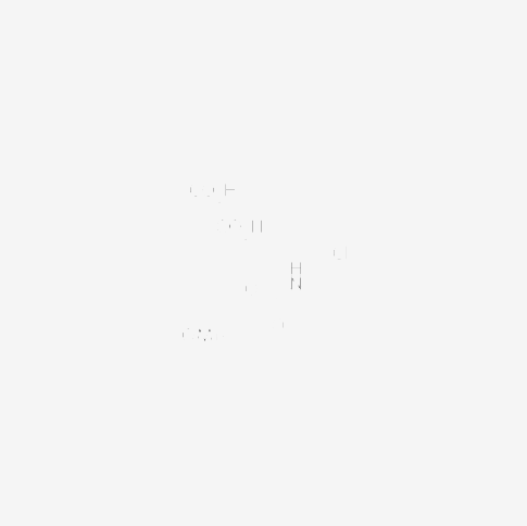 COc1ccc(CC(C(=O)O)C(=O)O)cc1COC(=O)Nc1ccccc1Cl